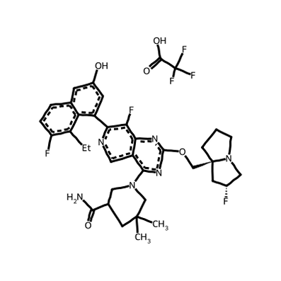 CCc1c(F)ccc2cc(O)cc(-c3ncc4c(N5CC(C(N)=O)CC(C)(C)C5)nc(OC[C@@]56CCCN5C[C@H](F)C6)nc4c3F)c12.O=C(O)C(F)(F)F